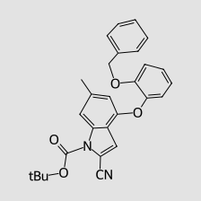 Cc1cc(Oc2ccccc2OCc2ccccc2)c2cc(C#N)n(C(=O)OC(C)(C)C)c2c1